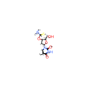 Cc1cn(C2CC(OC(=S)N(C)C)C(CO)O2)c(=O)[nH]c1=O